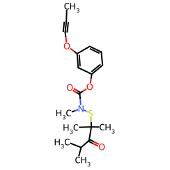 CC#COc1cccc(OC(=O)N(C)SC(C)(C)C(=O)C(C)C)c1